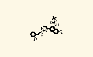 COc1ccc2cc(-c3ccnc(NCCc4ccccc4OC)n3)cc(NC(=O)OC(C)(C)C)c2c1